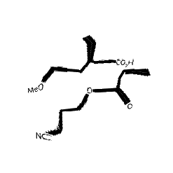 C=C(CCOC)C(=O)O.C=CC(=O)OCCC#N